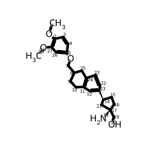 COc1ccc(OCC2CCc3cc([C@H]4CC[C@](N)(CO)C4)ccc3C2)cc1OC